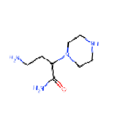 NCCC(C(N)=O)N1CCNCC1